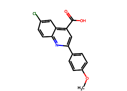 COc1ccc(-c2cc(C(=O)O)c3cc(Cl)ccc3n2)cc1